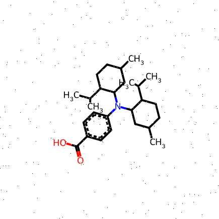 CC1CCC(C(C)C)C(N(c2ccc(C(=O)O)cc2)C2CC(C)CCC2C(C)C)C1